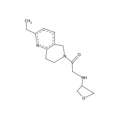 CCc1ccc2c(n1)CCN(C(=O)CNC1COC1)C2